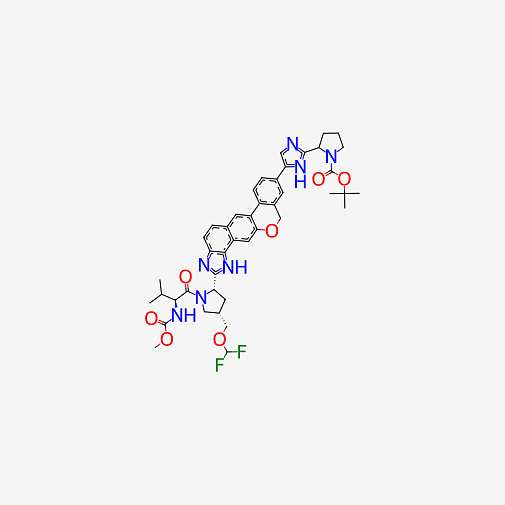 COC(=O)N[C@H](C(=O)N1C[C@@H](COC(F)F)C[C@H]1c1nc2ccc3cc4c(cc3c2[nH]1)OCc1cc(-c2cnc(C3CCCN3C(=O)OC(C)(C)C)[nH]2)ccc1-4)C(C)C